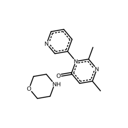 C1COCCN1.Cc1cc(=O)n(-c2cccnc2)c(C)n1